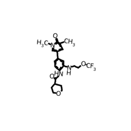 Cc1cc(-c2ccc(NC(=O)C3CCOCC3)c(NCCOC(F)(F)F)c2)cn(C)c1=O